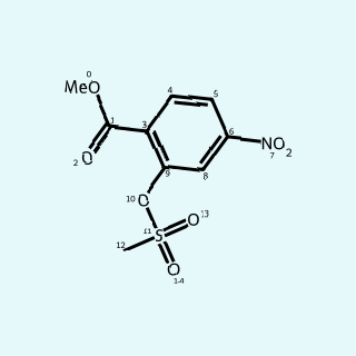 COC(=O)c1ccc([N+](=O)[O-])cc1OS(C)(=O)=O